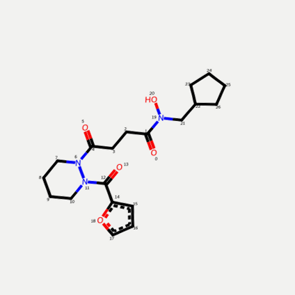 O=C(CCC(=O)N1CCCCN1C(=O)c1ccco1)N(O)CC1CCCC1